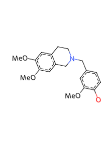 COc1cc(CN2CCc3cc(OC)c(OC)cc3C2)ccc1O